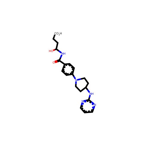 O=C(O)CCC(O)NC(=O)c1ccc(N2CCC(Nc3ncccn3)CC2)cc1